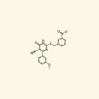 COc1cccc(-c2nc(SCc3cccc([N+](=O)[O-])c3)[nH]c(=O)c2C#N)c1